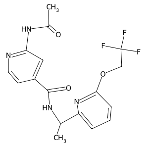 CC(=O)Nc1cc(C(=O)NC(C)c2cccc(OCC(F)(F)F)n2)ccn1